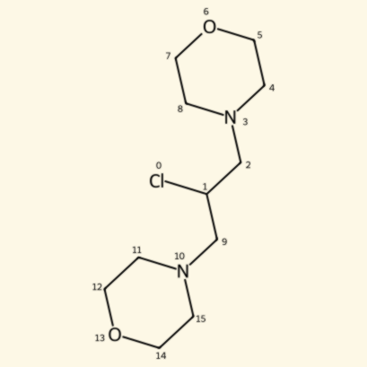 ClC(CN1CCOCC1)CN1CCOCC1